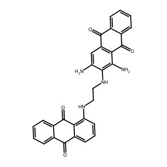 Nc1cc2c(c(N)c1NCCNc1cccc3c1C(=O)c1ccccc1C3=O)C(=O)c1ccccc1C2=O